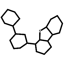 C1CCC(C2CCCC(C3CCCC4C5CCCCC5SC34)C2)CC1